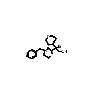 OCC(Br)(C1CCOCC1)C1CN(Cc2ccccc2)CCO1